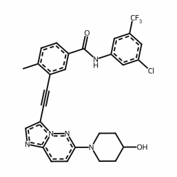 Cc1ccc(C(=O)Nc2cc(Cl)cc(C(F)(F)F)c2)cc1C#Cc1cnc2ccc(N3CCC(O)CC3)nn12